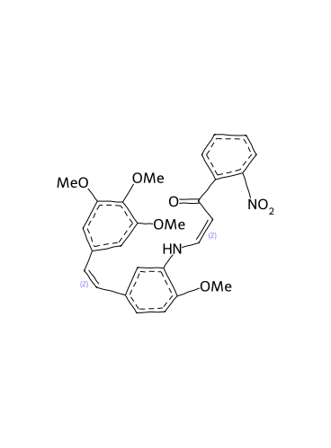 COc1ccc(/C=C\c2cc(OC)c(OC)c(OC)c2)cc1N/C=C\C(=O)c1ccccc1[N+](=O)[O-]